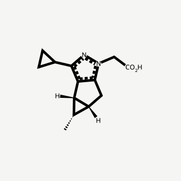 C[C@H]1[C@H]2Cc3c(c(C4CC4)nn3CC(=O)O)[C@@H]12